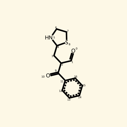 O=CC(CC1NCCS1)C(=O)c1ccccc1